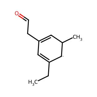 CCC1=CC(CC=O)=CC(C)[CH]1